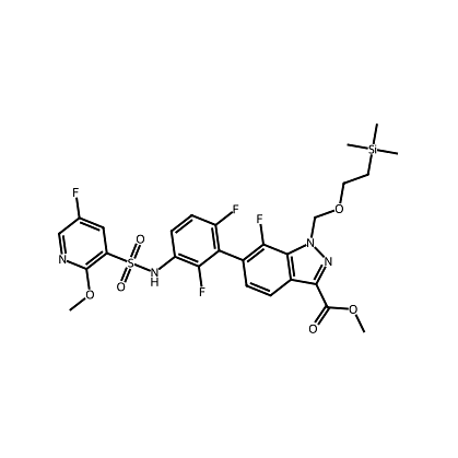 COC(=O)c1nn(COCC[Si](C)(C)C)c2c(F)c(-c3c(F)ccc(NS(=O)(=O)c4cc(F)cnc4OC)c3F)ccc12